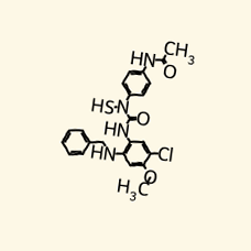 COc1cc(NCc2ccccc2)c(NC(=O)N(S)c2ccc(NC(C)=O)cc2)cc1Cl